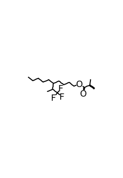 C=C(C)C(=O)OCCCCC(CCCCC)C(C)C(F)(F)F